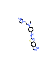 CCN(CCn1cc[n+](C)c1)c1ccc(N=Nc2nc3cc4[nH]ncc4cc3s2)cc1